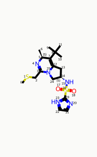 CSCC1=N[C@@H](C)C(C(C)(C)C)=C2C[C@H](NS(=O)(=O)c3ncc[nH]3)CN12